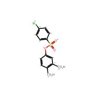 O=C(O)c1ccc(OS(=O)(=O)c2ccc(Br)cc2)cc1C(=O)O